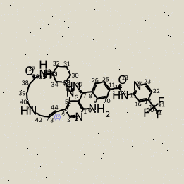 Nc1ncc2c3c1c(-c1ccc(C(=O)Nc4cc(C(F)(F)F)ccn4)cc1)nn3[C@@H]1CCC[C@H](C1)NC(=O)CCCNC/C=C/2